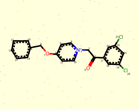 O=C(C[n+]1ccc(OCc2ccccc2)cc1)c1cc(Cl)cc(Cl)c1